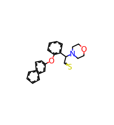 S=CC(c1ccccc1Oc1ccc2ccccc2c1)N1CCOCC1